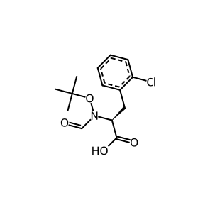 CC(C)(C)ON(C=O)[C@@H](Cc1ccccc1Cl)C(=O)O